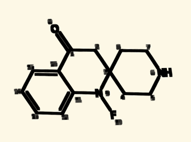 O=C1CC2(CCNCC2)N(F)c2ccccc21